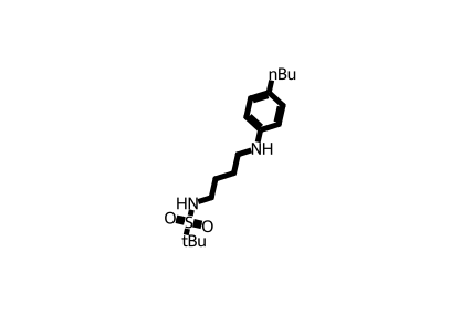 CCCCc1ccc(NCCCCNS(=O)(=O)C(C)(C)C)cc1